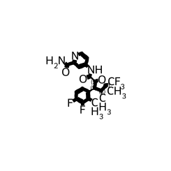 Cc1c([C@H]2[C@@H](C(=O)Nc3ccnc(C(N)=O)c3)O[C@@](C)(C(F)(F)F)[C@@H]2C)ccc(F)c1F